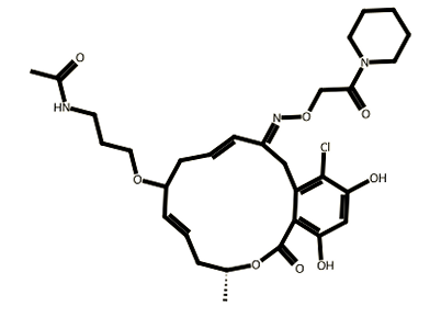 CC(=O)NCCCOC1/C=C/C[C@@H](C)OC(=O)c2c(O)cc(O)c(Cl)c2CC(=N\OCC(=O)N2CCCCC2)/C=C/C1